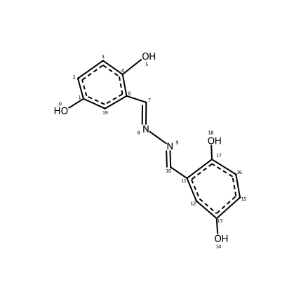 Oc1ccc(O)c(C=NN=Cc2cc(O)ccc2O)c1